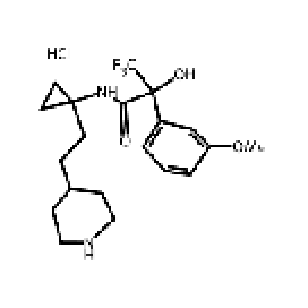 COc1cccc(C(O)(C(=O)NC2(CCC3CCNCC3)CC2)C(F)(F)F)c1.Cl